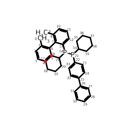 Cc1ccc[c]c1-c1c(C)cccc1[P@](C1CCCCC1)P(c1ccc(-c2ccccc2)cc1)C1CCCCC1